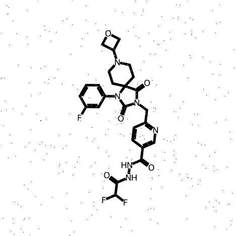 O=C(NNC(=O)C(F)F)c1ccc(CN2C(=O)N(c3cccc(F)c3)C3(CCN(C4COC4)CC3)C2=O)nc1